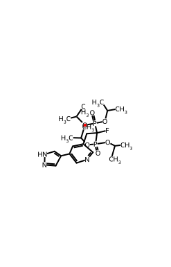 CC(C)OP(=O)(OC(C)C)C(F)(Cc1cncc(-c2cn[nH]c2)c1)P(=O)(OC(C)C)OC(C)C